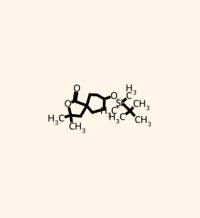 CC1(C)CC2(CCC(O[Si](C)(C)C(C)(C)C)CC2)C(=O)O1